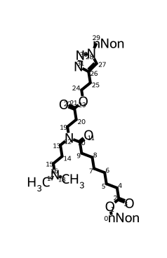 CCCCCCCCCOC(=O)CCCCCCC(=O)N(CCCN(C)C)CCC(=O)OCCc1cn(CCCCCCCCC)nn1